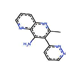 Cc1nc2cccnc2c(N)c1-c1cccnn1